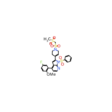 COc1ccc(F)cc1-c1ccnc2c1cc(C1=CCN(S(=O)(=O)CS(C)(=O)=O)CC1)n2S(=O)(=O)c1ccccc1